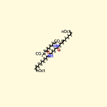 CCCCCCCC/C=C\CCCCCCCCNC(=O)CCCCC(=O)NCCCCCCCC/C=C\CCCCCCCC.O=C(O)CCCCCCCCC(=O)O